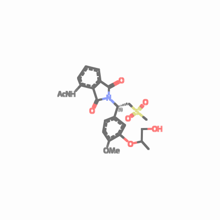 COc1ccc([C@@H](CS(C)(=O)=O)N2C(=O)c3cccc(NC(C)=O)c3C2=O)cc1OC(C)CO